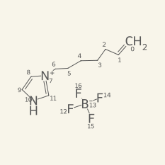 C=CCCCCC[n+]1cc[nH]c1.F[B-](F)(F)F